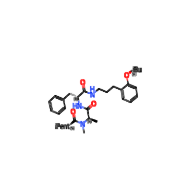 CCC[C@H](C)C(=O)N(C)[C@H](C)C(=O)N[C@H](Cc1ccccc1)C(=O)NCCCc1ccccc1O[C@H](C)CC